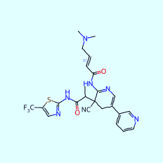 CC(C(=O)Nc1ncc(C(F)(F)F)s1)C1(C#N)CC(c2cccnc2)=CN=C1NC(=O)/C=C/CN(C)C